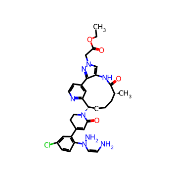 CCOC(=O)Cn1cc2c(n1)-c1ccnc(c1)[C@@H](N1CCC(c3cc(Cl)ccc3N(N)/C=C\N)=CC1=O)CCC[C@@H](C)C(=O)N2